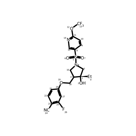 CC[C@]1(O)CN(S(=O)(=O)c2ccc(OC(F)(F)F)nc2)CC1COc1ccc(C#N)c(F)c1